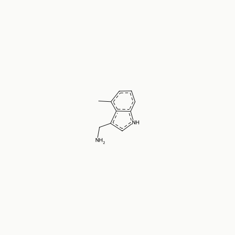 Cc1cccc2[nH]cc(CN)c12